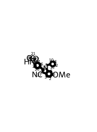 COc1ccc2c(c1)N(CC1CCCC1)C(c1ccc(NS(C)(=O)=O)cc1)C2C#N